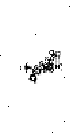 CC1(C)C(C(=O)OCC(Cl)(Cl)Cl)N2C(=O)C(NC(=O)CN(C(=O)OCC(Cl)(Cl)Cl)c3ccccc3)[C@H]2[S+]1[O-]